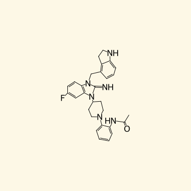 CC(=O)Nc1ccccc1N1CCC(n2c(=N)n(Cc3cccc4c3CCN4)c3ccc(F)cc32)CC1